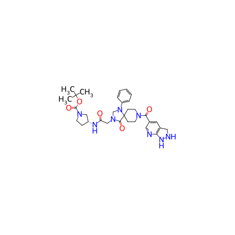 CC(C)(C)OC(=O)N1CC[C@@H](NC(=O)CN2CN(c3ccccc3)C3(CCN(C(=O)c4cnc5c(c4)CNN5)CC3)C2=O)C1